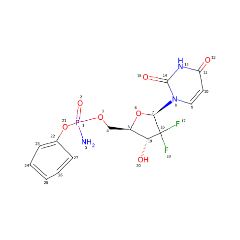 NP(=O)(OC[C@H]1O[C@@H](n2ccc(=O)[nH]c2=O)C(F)(F)[C@@H]1O)Oc1ccccc1